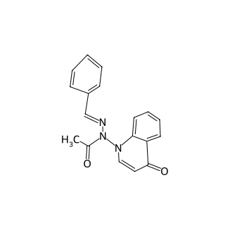 CC(=O)N(N=Cc1ccccc1)n1ccc(=O)c2ccccc21